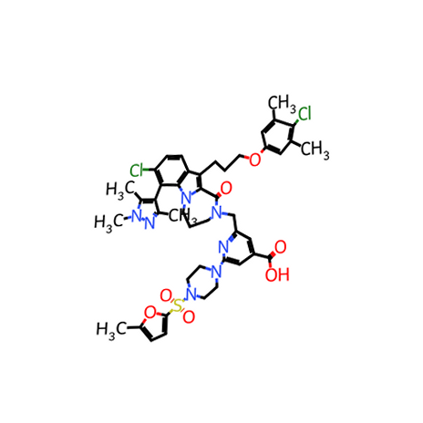 Cc1ccc(S(=O)(=O)N2CCN(c3cc(C(=O)O)cc(CN4CCCn5c(c(CCCOc6cc(C)c(Cl)c(C)c6)c6ccc(Cl)c(-c7c(C)nn(C)c7C)c65)C4=O)n3)CC2)o1